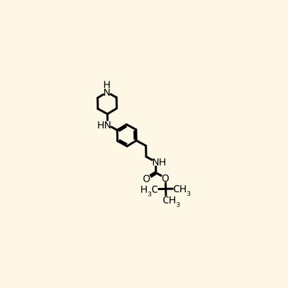 CC(C)(C)OC(=O)NCCc1ccc(NC2CCNCC2)cc1